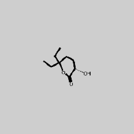 CCC1(CC)CC[C@H](O)C(=O)O1